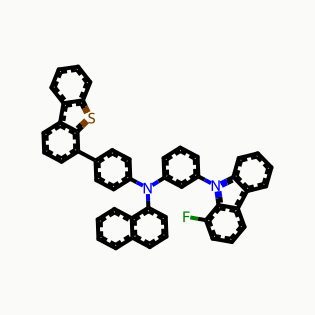 Fc1cccc2c3ccccc3n(-c3cccc(N(c4ccc(-c5cccc6c5sc5ccccc56)cc4)c4cccc5ccccc45)c3)c12